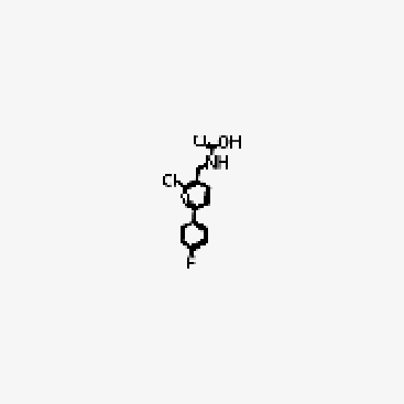 O=C(O)NCc1ccc(-c2ccc(F)cc2)nc1Cl